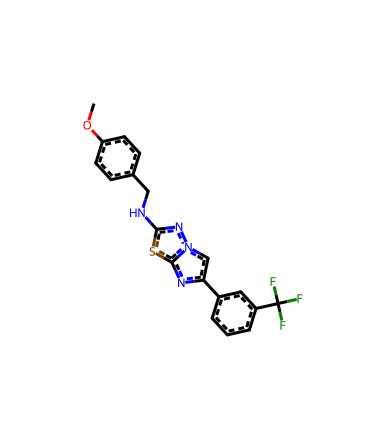 COc1ccc(CNc2nn3cc(-c4cccc(C(F)(F)F)c4)nc3s2)cc1